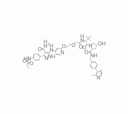 CCS(=O)(=O)Nc1ccc(-c2n[nH]c(Nc3ccnc(OCCOCC(=O)N[C@H](C(=O)N4C[C@H](O)C[C@H]4C(=O)NCc4ccc(-c5scnc5C)cc4)C(C)(C)C)c3)c2C(N)=O)cc1